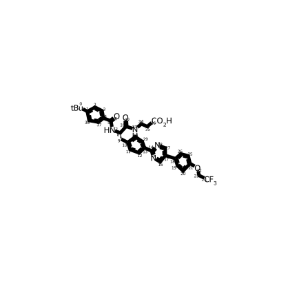 CC(C)(C)c1ccc(C(=O)N[C@@H](Cc2ccc(-c3ncc(-c4ccc(OCC(F)(F)F)cc4)cn3)cc2)C(=O)NCCC(=O)O)cc1